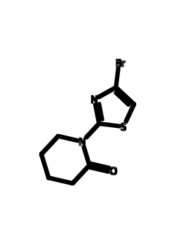 O=C1CCCCN1c1nc(Br)cs1